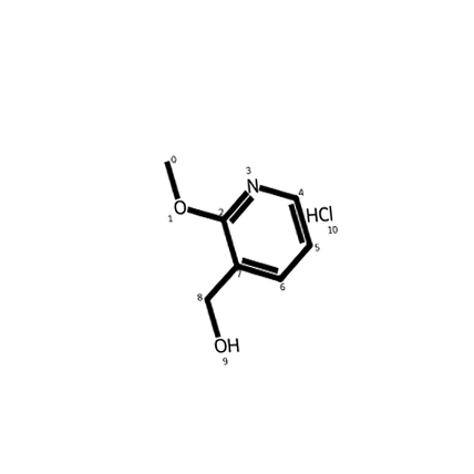 COc1ncccc1CO.Cl